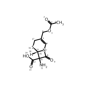 CC(=O)OCC1=CN2C(=O)C(N)(C(=O)O)[C@@H]2SC1